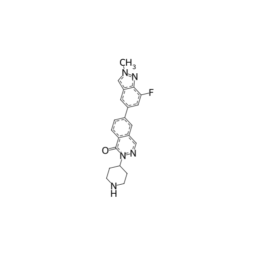 Cn1cc2cc(-c3ccc4c(=O)n(C5CCNCC5)ncc4c3)cc(F)c2n1